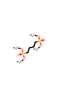 COP(=O)(CCCCP(=O)(OC)OC)OC